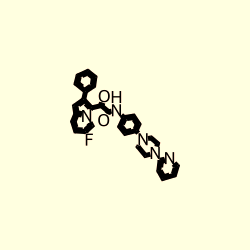 O=C(Nc1ccc(N2CCN(c3ccccn3)CC2)cc1)C(=O)c1c(-c2ccccc2)cc2ccc(F)cn12